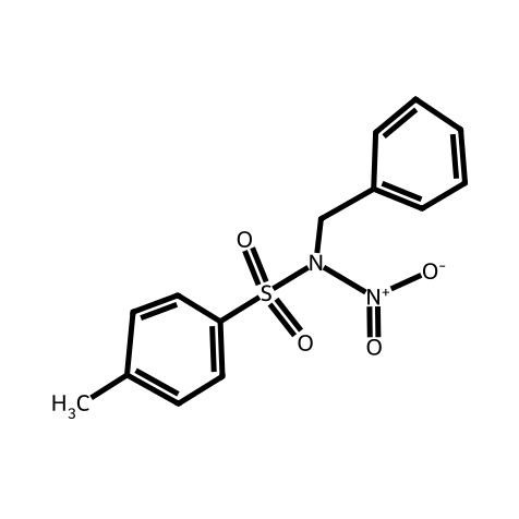 Cc1ccc(S(=O)(=O)N(Cc2ccccc2)[N+](=O)[O-])cc1